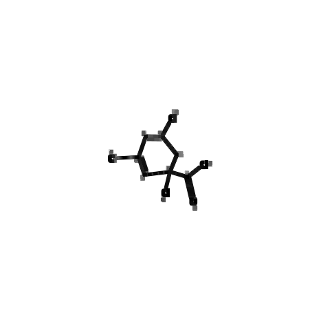 O=C(Cl)C1(Cl)C=C(Cl)C=C(Cl)C1